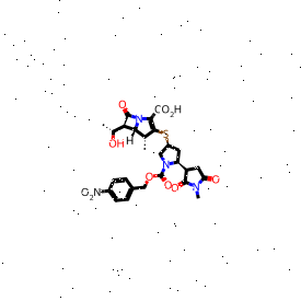 C[C@@H](O)[C@H]1C(=O)N2C(C(=O)O)=C(S[C@H]3C[C@@H](C4CC(=O)N(C)C4=O)N(C(=O)OCc4ccc([N+](=O)[O-])cc4)C3)[C@H](C)[C@H]12